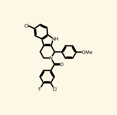 COc1ccc(C2c3[nH]c4ccc(Cl)cc4c3CCN2C(=O)c2ccc(F)c(Cl)c2)cc1